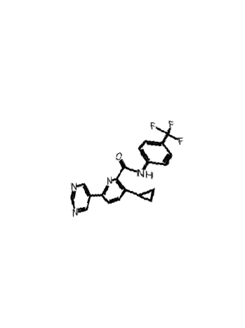 O=C(Nc1ccc(C(F)(F)F)cc1)c1nc(-c2cncnc2)ccc1C1CC1